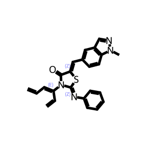 C=C/C=C(\C=C)N1C(=O)/C(=C/c2ccc3c(cnn3C)c2)S/C1=N\c1ccccc1